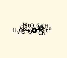 CCOC(=O)c1c(-c2ccc(OCCNS(C)(=O)=O)cc2)c(C#N)c(CC)n1C